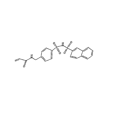 C=CC(=O)NCc1ccc(S(=O)(=O)NS(=O)(=O)c2ccc3ccccc3c2)cc1